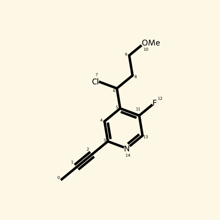 CC#Cc1cc(C(Cl)CCOC)c(F)cn1